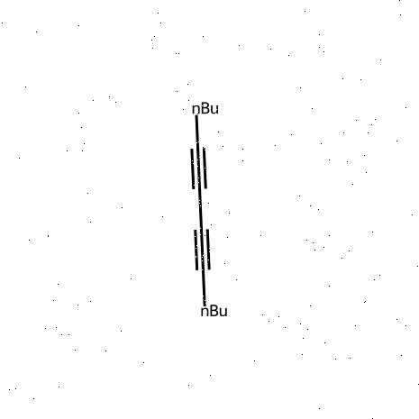 CCCCC#CC#CCCCC